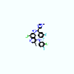 Cn1cnc(C(Nc2cc(Cl)c3ncc(C#N)c(Nc4ccc(F)c(Cl)c4)c3c2)c2ccc(F)c(F)c2)c1